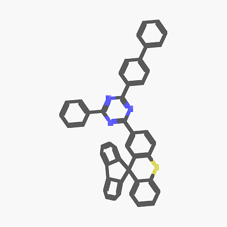 c1ccc(-c2ccc(-c3nc(-c4ccccc4)nc(-c4ccc5c(c4)C4(c6ccccc6S5)c5ccccc5-c5ccccc54)n3)cc2)cc1